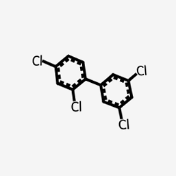 Clc1cc(Cl)cc(-c2ccc(Cl)cc2Cl)c1